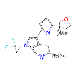 CO[C@]1(c2cccc(-c3cn([C@@H]4CC4(F)F)c4cnc(NC(C)=O)cc34)n2)CCOC1